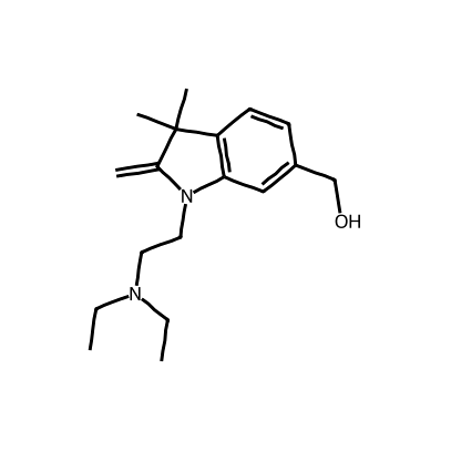 C=C1N(CCN(CC)CC)c2cc(CO)ccc2C1(C)C